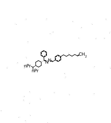 C=CCCCCCc1ccc(C=NN=C(c2ccccc2)[C@H]2CC[C@H](C(CCC)CCC)CC2)cc1